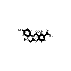 CCC(=O)c1ccc(OCCO)c(C(Nc2ccc(C#N)cc2)C(=O)O)c1